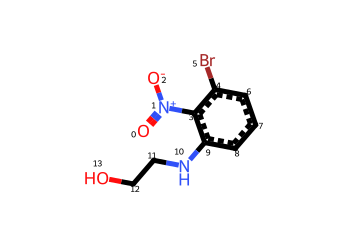 O=[N+]([O-])c1c(Br)cccc1NCCO